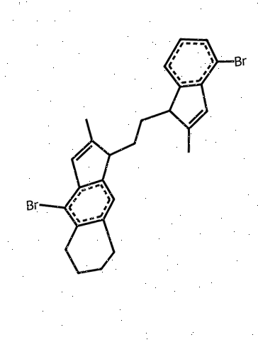 CC1=Cc2c(Br)cccc2C1CCC1C(C)=Cc2c1cc1c(c2Br)CCCC1